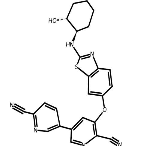 N#Cc1ccc(-c2cnc(C#N)c(Oc3ccc4nc(N[C@@H]5CCCC[C@H]5O)sc4c3)c2)cn1